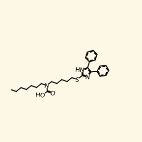 CCCCCCCN(CCCCCSc1nc(-c2ccccc2)c(-c2ccccc2)[nH]1)C(=O)O